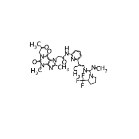 C=N/C(=N\C=C(/C)c1cccc(NC(=O)Cn2c(C)nc3c2c(=O)n(CC(C)=O)c(=O)n3C)n1)N1CCC[C@H]1C(F)(F)F